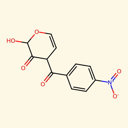 O=C(c1ccc([N+](=O)[O-])cc1)C1C=COC(O)C1=O